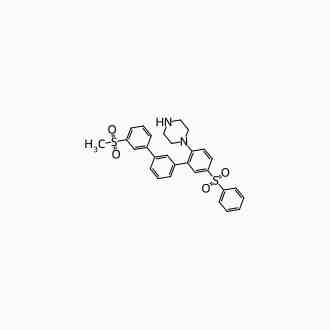 CS(=O)(=O)c1cccc(-c2cccc(-c3cc(S(=O)(=O)c4ccccc4)ccc3N3CCNCC3)c2)c1